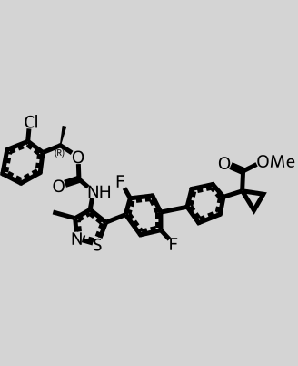 COC(=O)C1(c2ccc(-c3cc(F)c(-c4snc(C)c4NC(=O)O[C@H](C)c4ccccc4Cl)cc3F)cc2)CC1